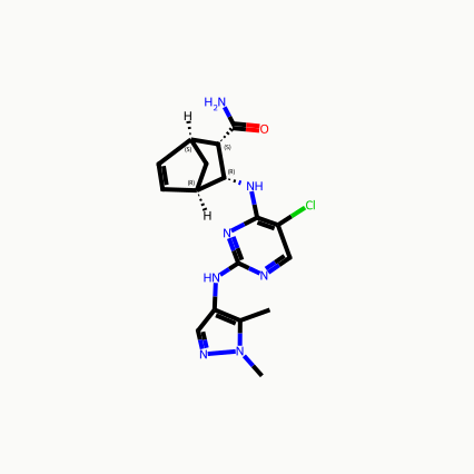 Cc1c(Nc2ncc(Cl)c(N[C@H]3[C@@H](C(N)=O)[C@@H]4C=C[C@H]3C4)n2)cnn1C